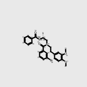 COc1ccc(CCN(C[C@@H](C)NC(=O)c2ccccc2)C(=O)c2cccc(Br)c2)cc1OC